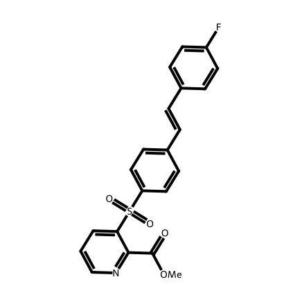 COC(=O)c1ncccc1S(=O)(=O)c1ccc(/C=C/c2ccc(F)cc2)cc1